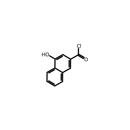 O=C(Cl)c1cc(O)c2ccccc2c1